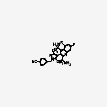 Cc1c(-c2c(C(N)=O)nc3cc(F)cc(F)c3c2C(N)=O)c(C(F)(F)F)nn1Cc1ccc(C#N)cc1